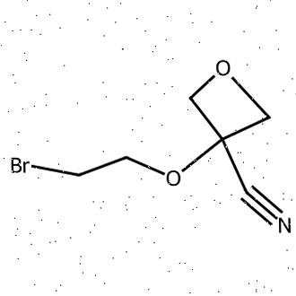 N#CC1(OCCBr)COC1